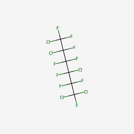 FC(F)(Cl)C(F)(Cl)C(F)(F)C(F)(Cl)C(F)(F)C(F)(Cl)Cl